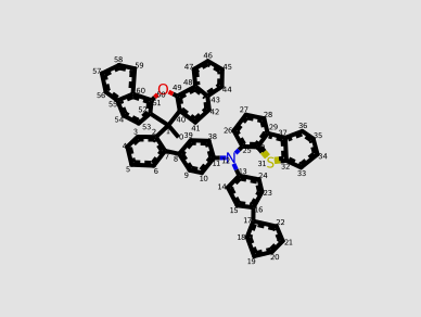 CC1(c2ccccc2-c2ccc(N(c3ccc(-c4ccccc4)cc3)c3cccc4c3sc3ccccc34)cc2)c2ccc3ccccc3c2Oc2c1ccc1ccccc21